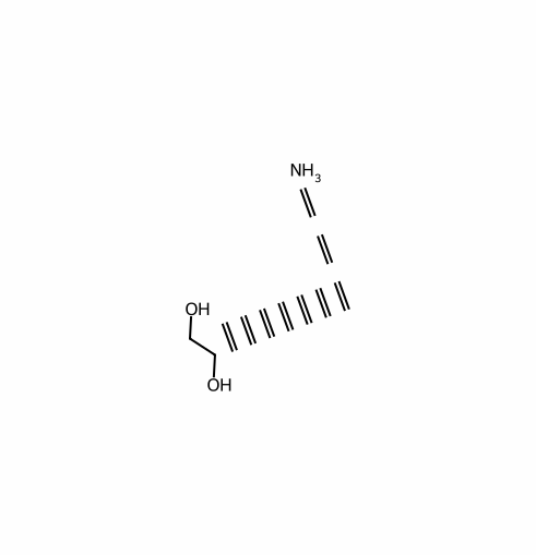 C=C.C=C.C=C.C=C.C=C.C=C.C=C.C=C.C=C.N.OCCO